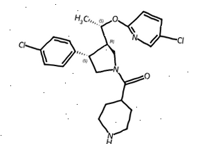 C[C@H](Oc1ccc(Cl)cn1)[C@H]1CN(C(=O)C2CCNCC2)C[C@@H]1c1ccc(Cl)cc1